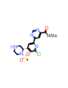 CNC(=O)c1cc(-c2cc([C@H]3CNCCN3S(C)(=O)=O)cc(Cl)n2)ncn1